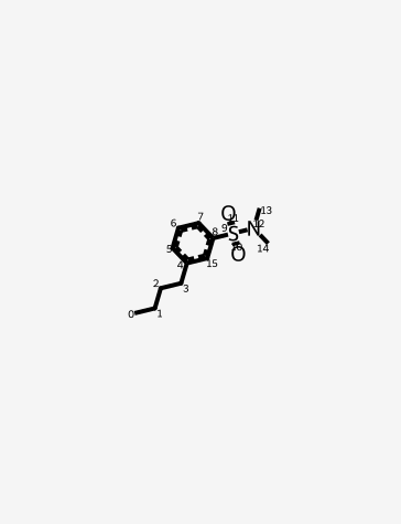 CCCCc1cccc(S(=O)(=O)N(C)C)c1